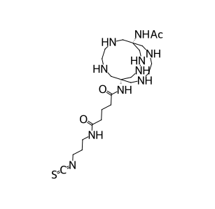 CC(=O)N[C@]12CNCCNC[C@](NC(=O)CCCC(=O)NCCCN=C=S)(CNCCNC1)CNNC2